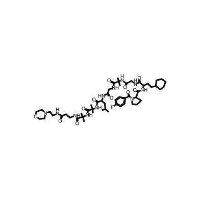 CC(C)CC(NC(=O)CNC(=O)C(C)(C)NC(=O)CNC(=O)C(CCC1CCCCC1)NC(=O)C1CCCN1C(=O)c1ccc(F)cc1)C(=O)NC(C)(C)C(=O)NC(C)(C)C(=O)NCCC(=O)NCCN1CCOCC1